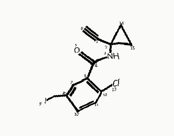 C#CC1(NC(=O)c2cc(I)ccc2Cl)CC1